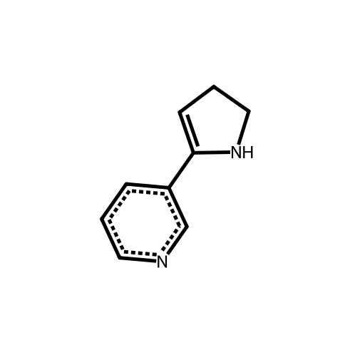 C1=C(c2cccnc2)NCC1